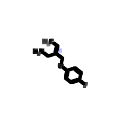 C/C=C(\CN)COc1ccc(F)cc1